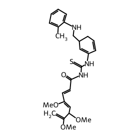 C=C(OC)C(C=C(/C=C/C(=O)NC(=S)NC1=CC(CNc2ccccc2C)CC=C1)OC)OC